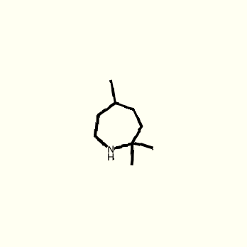 CC1CCNC(C)(C)CC1